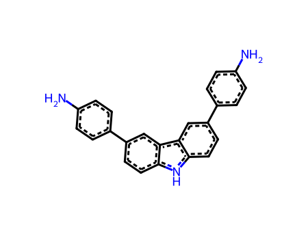 Nc1ccc(-c2ccc3[nH]c4ccc(-c5ccc(N)cc5)cc4c3c2)cc1